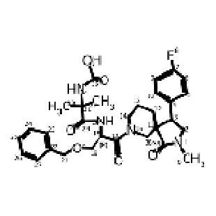 CN1CC(c2ccc(F)cc2)C2(CCCN(C(=O)[C@@H](COCc3ccccc3)NC(=O)C(C)(C)NC(=O)O)C2)C1=O